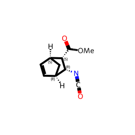 COC(=O)[C@@H]1[C@H](N=C=O)[C@H]2C=C[C@@H]1C2